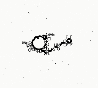 COc1cc2cc(c1Cl)N(C)C(=O)C[C@@H]1OC([C@H](C)N(C)C(=O)CCSCC(=O)NCCC(=O)Oc3c(F)c(F)cc(F)c3F)=C[C@]13O[C@H]3[C@H](C)[C@@H]1C[C@@](O)(NC(=O)O1)[C@H](OC)/C=C/C=C(\C)C2